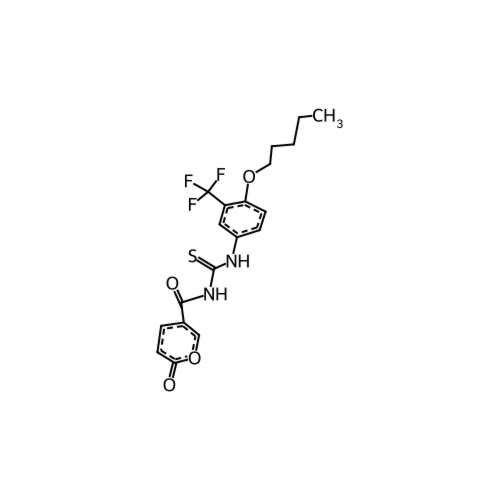 CCCCCOc1ccc(NC(=S)NC(=O)c2ccc(=O)oc2)cc1C(F)(F)F